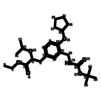 CCOC(=O)C(Cc1ccc(OC2CCCC2)c(CNC(=O)OC(C)(C)C)c1)OC(C)C